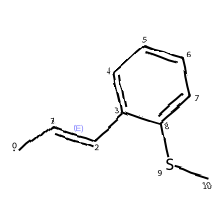 [CH2]/C=C/c1ccccc1SC